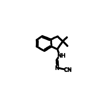 CC1(C)Cc2ccccc2C1N/C=N\C#N